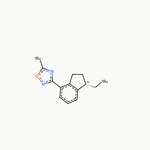 CC(C)(C)C[C@H]1CCc2c(-c3noc(C(C)(C)C)n3)cccc21